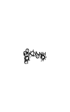 O=C(CN1CCC(N2C(=O)OCc3cc(Cl)ccc32)CC1)Nc1ccccc1